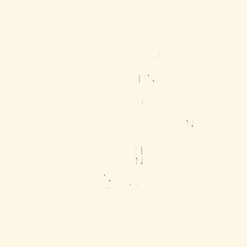 Cc1ccc(NCC(=O)NCc2ccc3nc(C)c(C4CCC(=O)NC4=O)cc3c2)cc1Cl